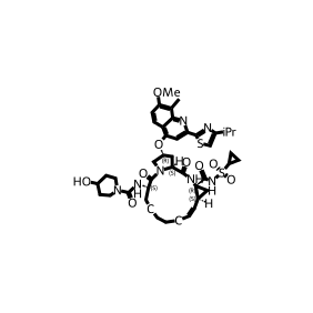 COc1ccc2c(O[C@@H]3C[C@H]4C(=O)N[C@]5(C(=O)NS(=O)(=O)C6CC6)C[C@H]5C=CCCCCC[C@H](NC(=O)N5CCC(O)CC5)C(=O)N4C3)cc(-c3nc(C(C)C)cs3)nc2c1C